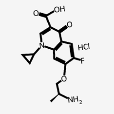 C[C@H](N)COc1cc2c(cc1F)c(=O)c(C(=O)O)cn2C1CC1.Cl